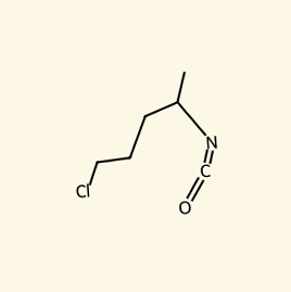 CC(CCCCl)N=C=O